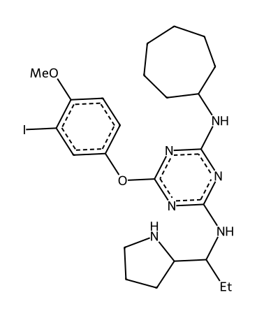 CCC(Nc1nc(NC2CCCCCC2)nc(Oc2ccc(OC)c(I)c2)n1)C1CCCN1